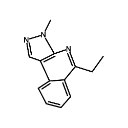 CCc1nc2c(cnn2C)c2ccccc12